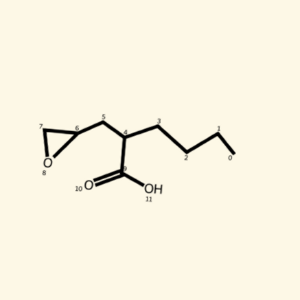 CCCCC(CC1CO1)C(=O)O